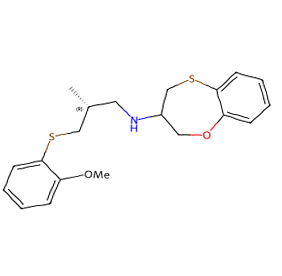 COc1ccccc1SC[C@H](C)CNC1COc2ccccc2SC1